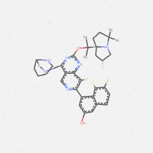 [2H]C1([2H])CC[C@@]2(C([2H])([2H])Oc3nc(N4CC5CCC4CN5)c4cnc(-c5cc(O)cc6ccc(F)c(F)c56)c(F)c4n3)C[C@@H](F)CN12